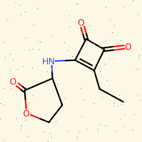 CCc1c(NC2CCOC2=O)c(=O)c1=O